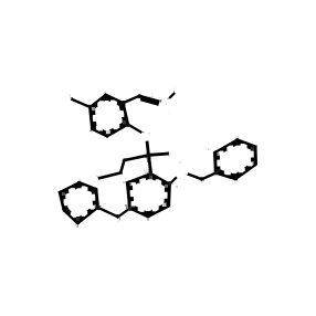 CCCC(C)(Pc1ccc(C)cc1/C=N/C)c1cc(Cc2ccccc2)ccc1OCc1ccccc1